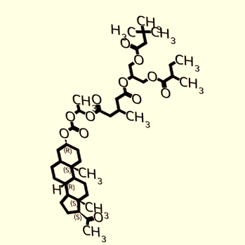 CCC(C)C(=O)OCC(COC(=O)CC(C)(C)C)OC(=O)CC(C)CC(=O)OC(C)OC(=O)O[C@@H]1CC[C@@]2(C)C(CC[C@@H]3C2CC[C@@]2(C)C3CC[C@@H]2C(C)=O)C1